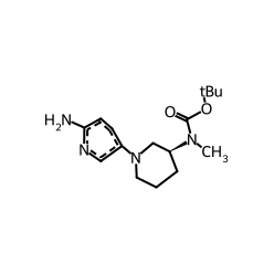 CN(C(=O)OC(C)(C)C)[C@H]1CCCN(c2ccc(N)nc2)C1